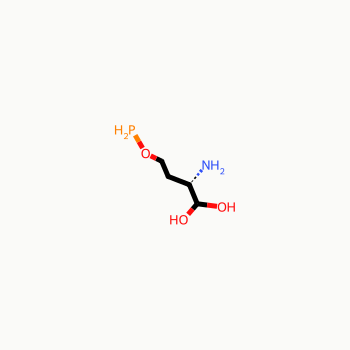 N[C@@H](CCOP)C(O)O